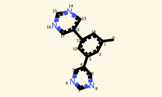 Cc1cc(-c2cncnc2)cc(-c2cncnc2)c1